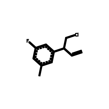 C=CC(CCl)c1cc(C)cc(F)c1